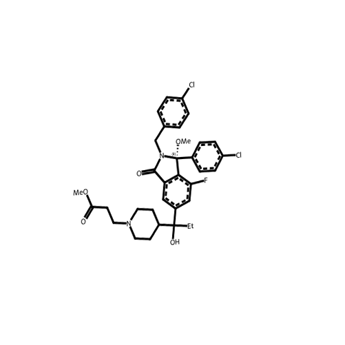 CCC(O)(c1cc(F)c2c(c1)C(=O)N(Cc1ccc(Cl)cc1)[C@@]2(OC)c1ccc(Cl)cc1)C1CCN(CCC(=O)OC)CC1